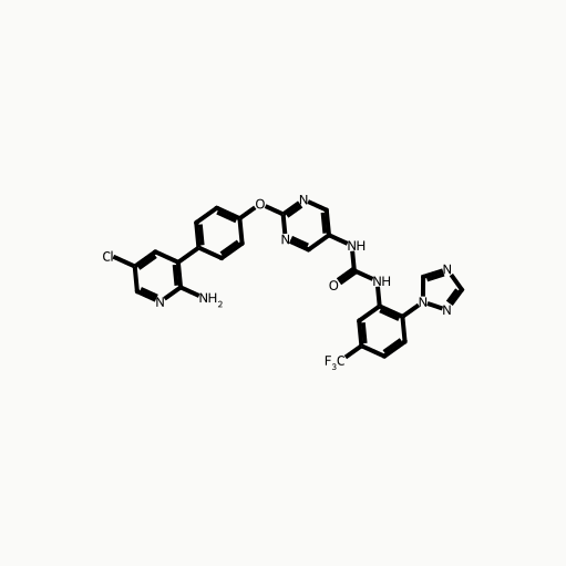 Nc1ncc(Cl)cc1-c1ccc(Oc2ncc(NC(=O)Nc3cc(C(F)(F)F)ccc3-n3cncn3)cn2)cc1